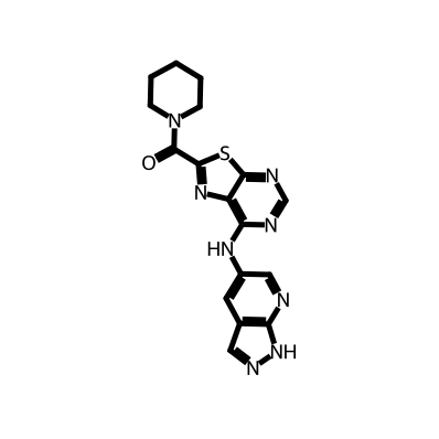 O=C(c1nc2c(Nc3cnc4[nH]ncc4c3)ncnc2s1)N1CCCCC1